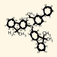 CC(C)c1cc(-c2ccccc2)ccc1N(c1ccc2c(c1)C(C)(C)c1ccccc1-2)c1ccc2c(c1)C(C)(C)c1ccccc1-2